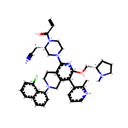 C=CC(=O)N1CCN(c2nc(OC[C@@H]3CCCN3C)c(-c3cccnc3C)c3c2CCN(c2cccc4cccc(Cl)c24)C3)C[C@@H]1CC#N